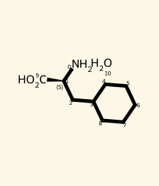 N[C@@H](CC1CCCCC1)C(=O)O.O